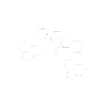 CC1=C2c3c(-c4ccc5c6c(cccc46)C=C5)cccc3[CH]1[Zr+2][CH]1C(C)=C(c3c(-c4ccc5c6c(cccc46)C=C5)cccc31)[Si]2(C)C.[Cl-].[Cl-]